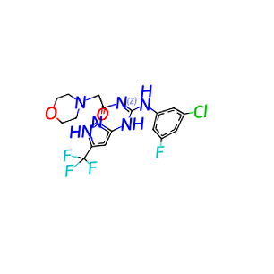 O=C(CN1CCOCC1)/N=C(/Nc1cc(F)cc(Cl)c1)Nc1cc(C(F)(F)F)[nH]n1